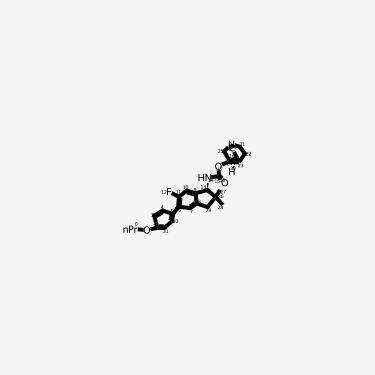 CCCOc1ccc(-c2cc3c(cc2F)[C@H](NC(=O)O[C@H]2CN4CCC2CC4)C(C)(C)C3)cc1